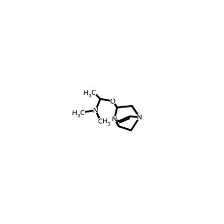 CC(OC1CN2C=CN1CC2)N(C)C